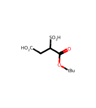 CC(C)(C)OC(=O)C(CC(=O)O)S(=O)(=O)O